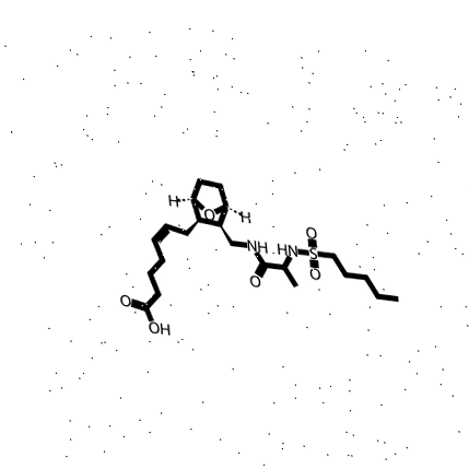 CCCCCS(=O)(=O)NC(C)C(=O)NC[C@H]1[C@@H](C/C=C\CCCC(=O)O)[C@H]2CC[C@@H]1O2